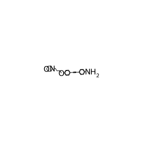 Nc1ccc(C#Cc2ccc(OCCCN3CCOCC3)cc2)cc1